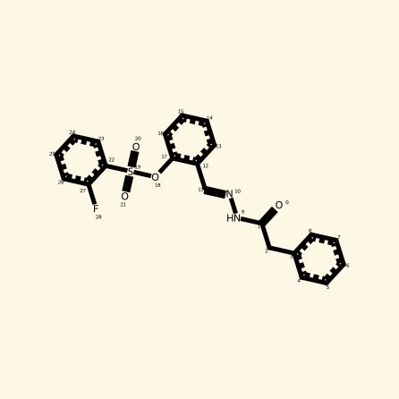 O=C(Cc1ccccc1)NN=Cc1ccccc1OS(=O)(=O)c1ccccc1F